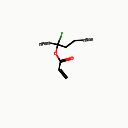 C=CC(=O)OC(F)(CCCCC)CCCCCCCCCCC